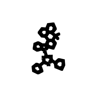 CC1(C)c2ccc3c(c2-c2cccc4cccc1c24)c1ccccc1n3-c1nc(-c2ccccc2)nc(-c2ccccc2)n1